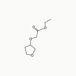 CCOC(=O)COC1CCOC1